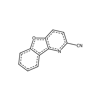 N#Cc1ccc2oc3ccccc3c2n1